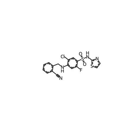 N#Cc1ccccc1CNc1cc(F)c(S(=O)(=O)Nc2nccs2)cc1Cl